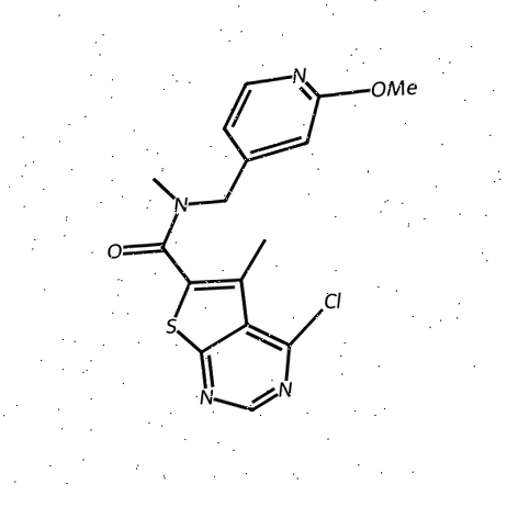 COc1cc(CN(C)C(=O)c2sc3ncnc(Cl)c3c2C)ccn1